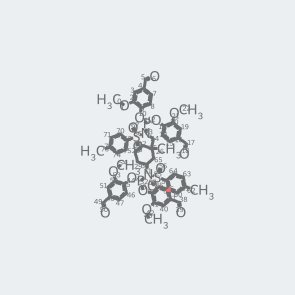 COc1cc(C=O)ccc1OP(Oc1ccc(C=O)cc1OC)N(CC1(C)CCCC(N(P(Oc2ccc(C=O)cc2OC)Oc2ccc(C=O)cc2OC)S(=O)(=O)c2ccc(C)cc2)C1)S(=O)(=O)c1ccc(C)cc1